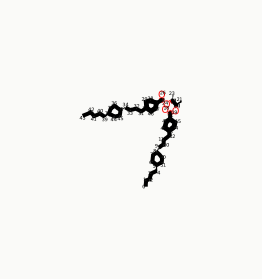 CCCCC[C@H]1CC[C@H](CCCCc2ccc(C(=O)O[C@H](C)[C@@H](C)OC(=O)c3ccc(CCCC[C@H]4CC[C@H](CCCCC)CC4)cc3)cc2)CC1